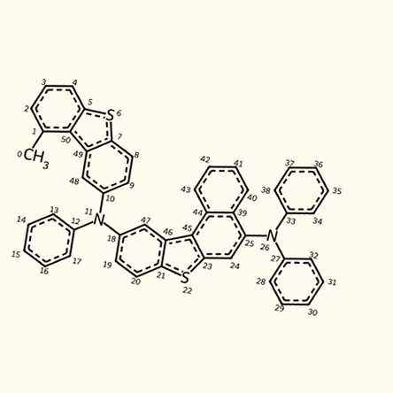 Cc1cccc2sc3ccc(N(c4ccccc4)c4ccc5sc6cc(N(c7ccccc7)c7ccccc7)c7ccccc7c6c5c4)cc3c12